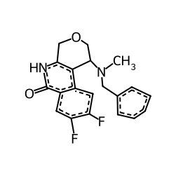 CN(Cc1ccccc1)C1COCc2[nH]c(=O)c3cc(F)c(F)cc3c21